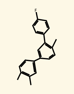 Cc1ccc(-c2ccc(C)c(-c3ccc(F)cc3)c2)cc1C